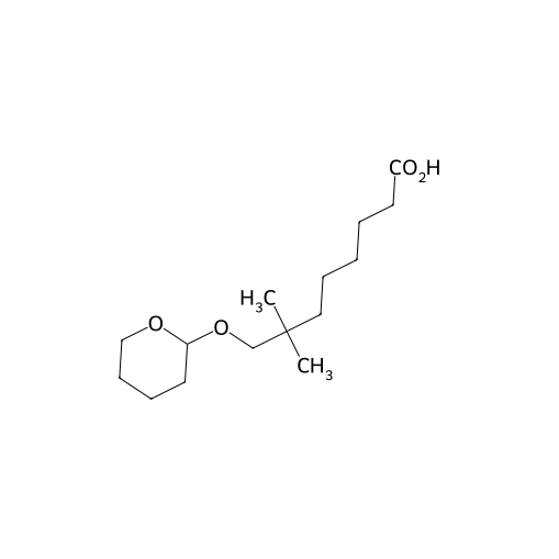 CC(C)(CCCCCC(=O)O)COC1CCCCO1